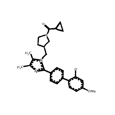 COc1ccc(-c2ccc(-c3nc(C)c(C)n3CC3CCN(C(=O)C4CC4)C3)cc2)c(Cl)c1